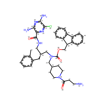 Cc1ccccc1C[C@@H](CNC(=O)c1nc(Cl)c(N)nc1N)CN(CC1CCN(C(=O)CCN)CC1)C(=O)OCC1c2ccccc2-c2ccccc21